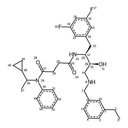 CCc1cccc(CNC[C@H](O)[C@H](Cc2cc(F)cc(F)c2)NC(=O)CCC(=O)N(c2ccccc2)C(C)C2CC2)c1